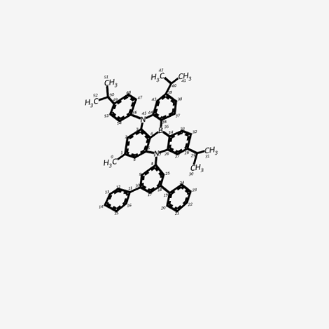 Cc1cc2c3c(c1)N(c1cc(-c4ccccc4)cc(-c4ccccc4)c1)c1cc(C(C)C)ccc1B3c1ccc(C(C)C)cc1N2c1ccc(C(C)C)cc1